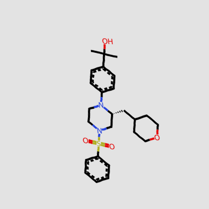 CC(C)(O)c1ccc(N2CCN(S(=O)(=O)c3ccccc3)C[C@H]2CC2CCOCC2)cc1